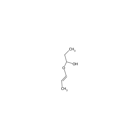 CC=COC(O)CC